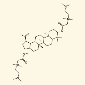 C=C(C)[C@@H]1CC[C@]2(COC(=O)C[N+](C)(C)CCN(C)C)CC[C@]3(C)C(CCC4[C@@]5(C)CC[C@H](OC(=O)C[N+](C)(C)CCN(C)C)C(C)(C)C5CC[C@]43C)C12